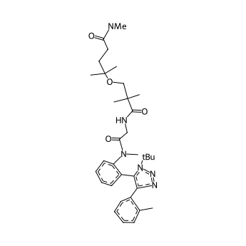 CNC(=O)CCC(C)(C)OCC(C)(C)C(=O)NCC(=O)N(C)c1ccccc1-c1c(-c2ccccc2C)nnn1C(C)(C)C